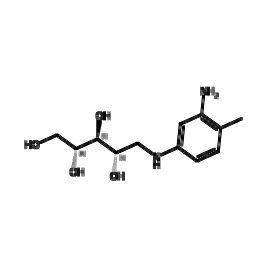 Cc1ccc(NC[C@H](O)[C@H](O)[C@H](O)CO)cc1N